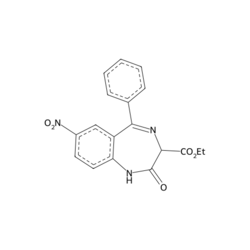 CCOC(=O)C1N=C(c2ccccc2)c2cc([N+](=O)[O-])ccc2NC1=O